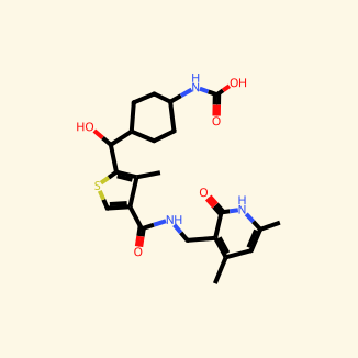 Cc1cc(C)c(CNC(=O)c2csc(C(O)C3CCC(NC(=O)O)CC3)c2C)c(=O)[nH]1